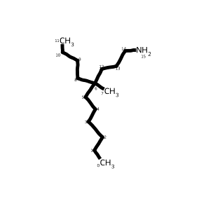 CCCCCCC(C)(CCCC)CCCN